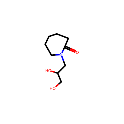 O=C1CCCCCN1CC(O)CO